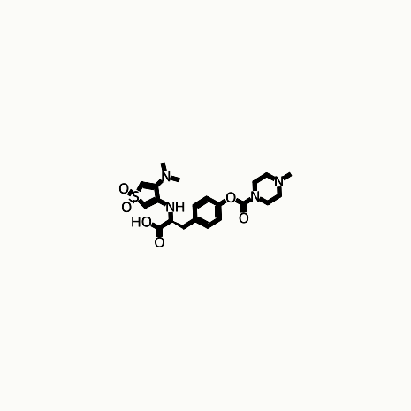 CN1CCN(C(=O)Oc2ccc(C[C@H](NC3=CS(=O)(=O)C=C3N(C)C)C(=O)O)cc2)CC1